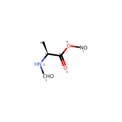 C[C@H](NC=O)C(=O)ON=O